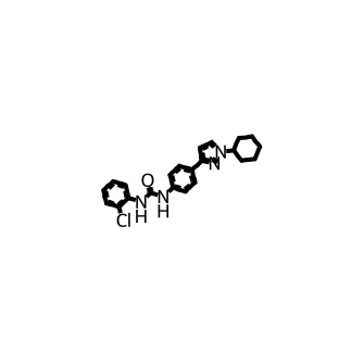 O=C(Nc1ccc(-c2ccn(C3CCCCC3)n2)cc1)Nc1ccccc1Cl